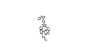 c1ccc(-c2ccc(-c3ccccc3-c3ccc4sc5cccc(-c6nc(-c7ccccc7)nc(-c7ccc(-c8cccc9sc%10ccccc%10c89)cc7)n6)c5c4c3)cc2)cc1